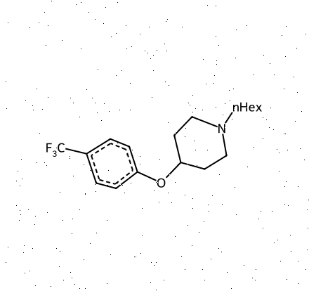 [CH2]CCCCCN1CCC(Oc2ccc(C(F)(F)F)cc2)CC1